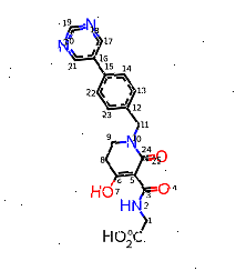 O=C(O)CNC(=O)C1=C(O)CCN(Cc2ccc(-c3cncnc3)cc2)C1=O